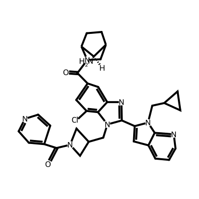 N[C@@H]1C2CCC1N(C(=O)c1cc(Cl)c3c(c1)nc(-c1cc4cccnc4n1CC1CC1)n3CC1CN(C(=O)c3ccncc3)C1)C2